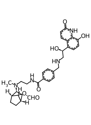 CN(CCNC(=O)c1ccc(CNC[C@@H](O)c2ccc(O)c3[nH]c(=O)ccc23)cc1)[C@H]1C[C@@H]2CC[C@H]1[C@@H]2OC=O